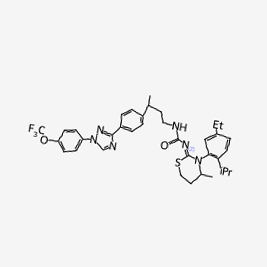 CCc1ccc(C(C)C)c(N2/C(=N/C(=O)NCCC(C)c3ccc(-c4ncn(-c5ccc(OC(F)(F)F)cc5)n4)cc3)SCCC2C)c1